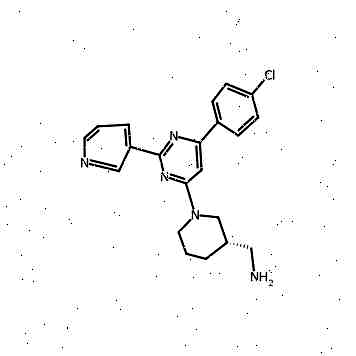 NC[C@@H]1CCCN(c2cc(-c3ccc(Cl)cc3)nc(-c3cccnc3)n2)C1